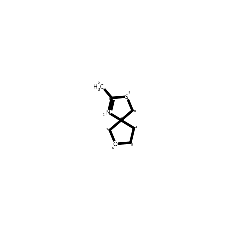 CC1=NC2(CCOC2)CS1